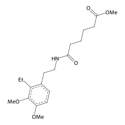 CCc1c(CCNC(=O)CCCCC(=O)OC)ccc(OC)c1OC